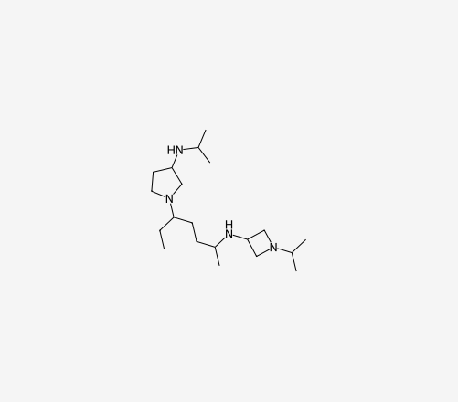 CCC(CCC(C)NC1CN(C(C)C)C1)N1CCC(NC(C)C)C1